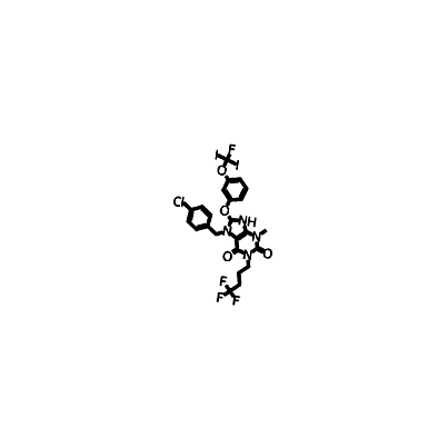 Cn1c2c(c(=O)n(CCCC(F)(F)F)c1=O)N(Cc1ccc(Cl)cc1)C(Oc1cccc(OC(F)(I)I)c1)N2